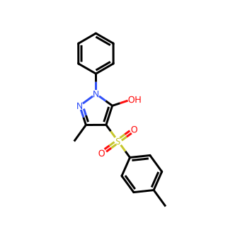 Cc1ccc(S(=O)(=O)c2c(C)nn(-c3ccccc3)c2O)cc1